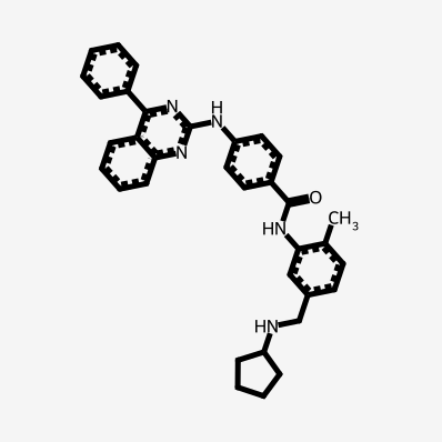 Cc1ccc(CNC2CCCC2)cc1NC(=O)c1ccc(Nc2nc(-c3ccccc3)c3ccccc3n2)cc1